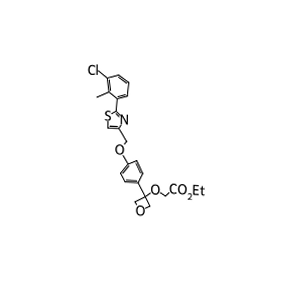 CCOC(=O)COC1(c2ccc(OCc3csc(-c4cccc(Cl)c4C)n3)cc2)COC1